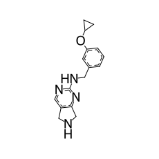 c1cc(CNc2ncc3c(n2)CNC3)cc(OC2CC2)c1